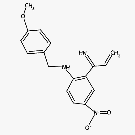 C=CC(=N)c1cc([N+](=O)[O-])ccc1NCc1ccc(OC)cc1